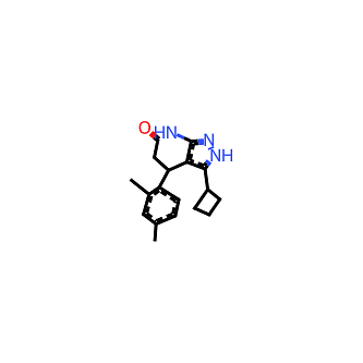 Cc1ccc(C2CC(=O)Nc3n[nH]c(C4CCC4)c32)c(C)c1